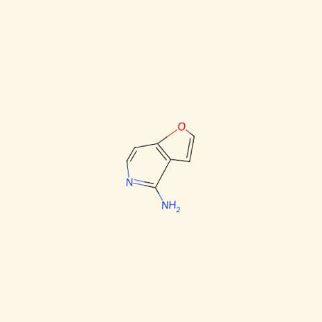 Nc1nccc2occc12